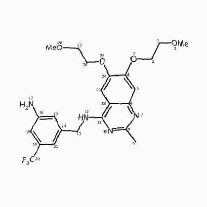 COCCOc1cc2nc(C)nc(NCc3cc(N)cc(C(F)(F)F)c3)c2cc1OCCOC